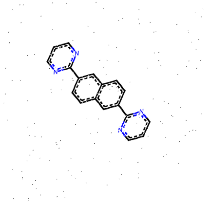 c1cnc(-c2ccc3cc(-c4ncccn4)ccc3c2)nc1